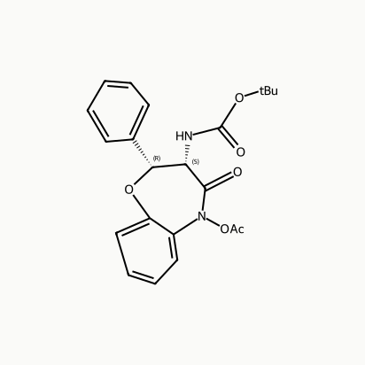 CC(=O)ON1C(=O)[C@@H](NC(=O)OC(C)(C)C)[C@@H](c2ccccc2)Oc2ccccc21